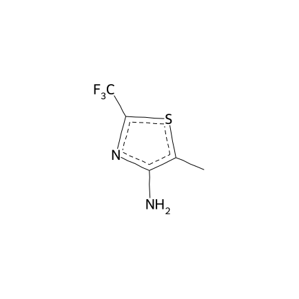 Cc1sc(C(F)(F)F)nc1N